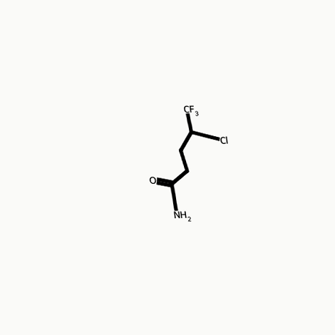 NC(=O)CCC(Cl)C(F)(F)F